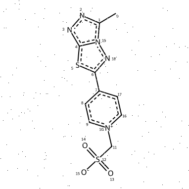 Cc1nnc2sc(-c3cc[n+](CS(=O)(=O)[O-])cc3)nn12